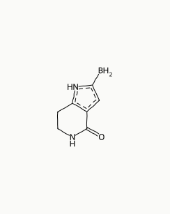 Bc1cc2c([nH]1)CCNC2=O